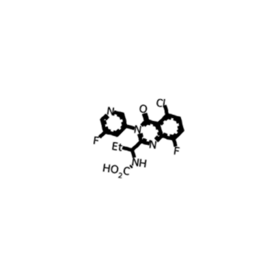 CCC(NC(=O)O)c1nc2c(F)ccc(Cl)c2c(=O)n1-c1cncc(F)c1